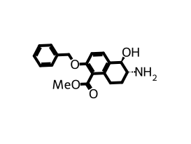 COC(=O)c1c(OCc2ccccc2)ccc2c1CC[C@@H](N)[C@@H]2O